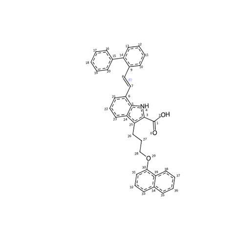 O=C(O)c1[nH]c2c(/C=C/c3ccccc3-c3ccccc3)cccc2c1CCCOc1cccc2ccccc12